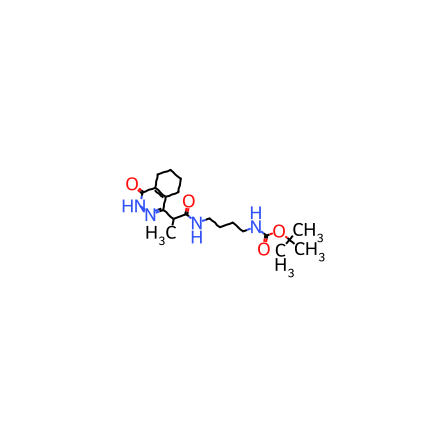 CC(C(=O)NCCCCNC(=O)OC(C)(C)C)c1n[nH]c(=O)c2c1CCCC2